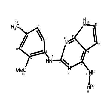 CCCNc1nc(Nc2ccc(C)cc2OC)nc2[nH]ccc12